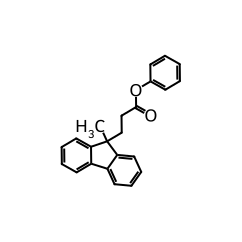 CC1(CCC(=O)Oc2ccccc2)c2ccccc2-c2ccccc21